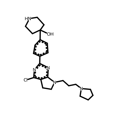 OC1(c2ccc(-c3nc(Cl)c4c(n3)N(CCCN3CCCC3)CC4)cc2)CCNCC1